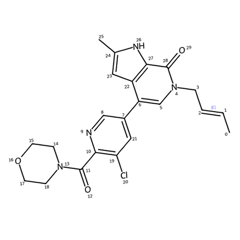 C/C=C/Cn1cc(-c2cnc(C(=O)N3CCOCC3)c(Cl)c2)c2cc(C)[nH]c2c1=O